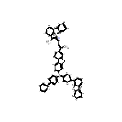 C=c1/c(=C\C=C(/C)c2ccc3c(c2)oc2cc(N(c4ccc(-c5ccccc5)cc4)c4ccc(-c5cccc6c5oc5ccccc56)cc4)ccc23)n2c3ccccc3c3cccc1c32